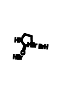 Br.Br.Br.O=C1CCCN1